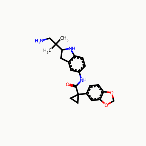 CC(C)(CN)C1Cc2cc(NC(=O)C3(c4ccc5c(c4)OCO5)CC3)ccc2N1